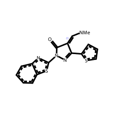 CN/C=C1/C(=O)N(c2nc3ccccc3s2)N=C1c1cccs1